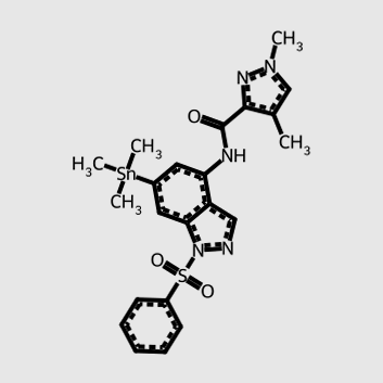 Cc1cn(C)nc1C(=O)Nc1c[c]([Sn]([CH3])([CH3])[CH3])cc2c1cnn2S(=O)(=O)c1ccccc1